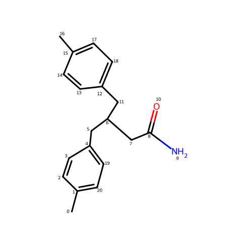 Cc1ccc(CC(CC(N)=O)Cc2ccc(C)cc2)cc1